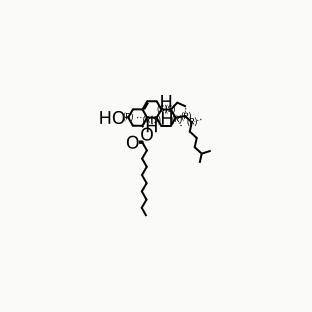 CCCCCCCCCC(=O)OC1C[C@H](O)CC2=CC[C@H]3[C@@H]4CC[C@H]([C@H](C)CCCC(C)C)[C@@]4(C)CC[C@@H]3[C@]21C